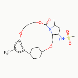 CC1CC(NS(C)(=O)=O)C2COC3CCC(CC3)c3cc(cc(C(F)(F)F)c3)OCCCOC(=O)N12